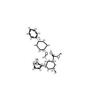 COC(=O)N1C[C@@H](C)C[C@@H](c2ccn[nH]2)[C@@H]1CO[C@H]1CC[C@@H](c2ccccc2)CC1